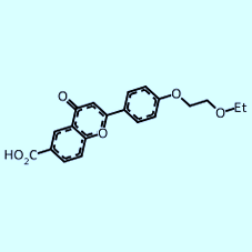 CCOCCOc1ccc(-c2cc(=O)c3cc(C(=O)O)ccc3o2)cc1